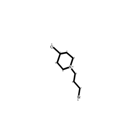 ClC1CCN(CCCBr)CC1